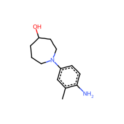 Cc1cc(N2CCCC(O)CC2)ccc1N